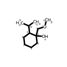 COCC1(O)CCCCC1C(C)C